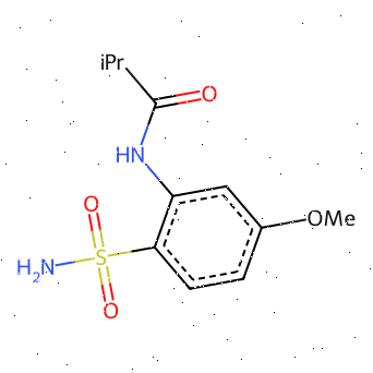 COc1ccc(S(N)(=O)=O)c(NC(=O)C(C)C)c1